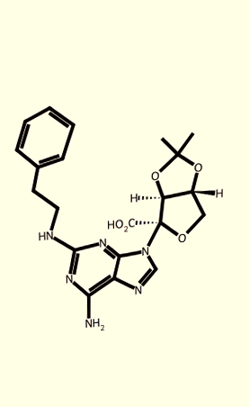 CC1(C)O[C@@H]2CO[C@@](C(=O)O)(n3cnc4c(N)nc(NCCc5ccccc5)nc43)[C@H]2O1